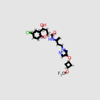 C=C(CCn1cc(O[C@H]2C[C@@H](OC(F)(F)F)C2)cn1)NC(=O)[C@H]1C[C@@H](O)c2cc(Cl)ccc2O1